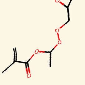 C=C(C)C(=O)OC(C)OOCC1CO1